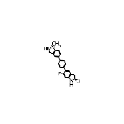 CN1NCc2cc(-c3ccc(-c4cc5c(cc4F)NC(=O)C5)cc3)ccc21